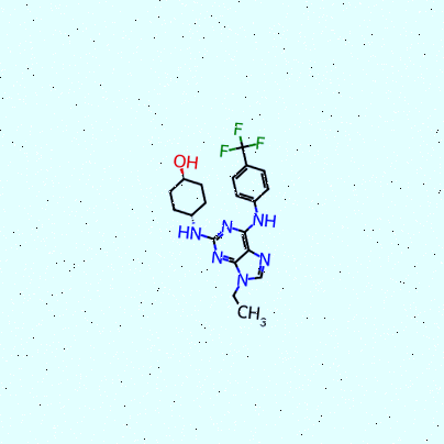 CCn1cnc2c(Nc3ccc(C(F)(F)F)cc3)nc(N[C@H]3CC[C@H](O)CC3)nc21